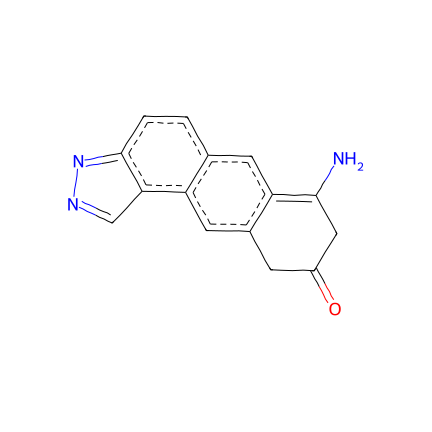 NC1=c2cc3ccc4c(c3cc2CC(=O)C1)C=NN=4